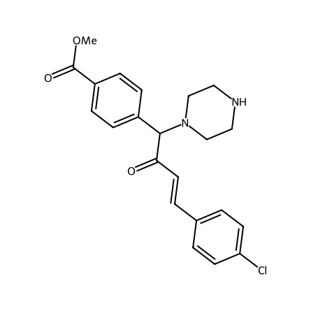 COC(=O)c1ccc(C(C(=O)C=Cc2ccc(Cl)cc2)N2CCNCC2)cc1